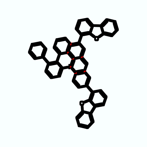 c1ccc(-c2ccccc2-c2c(-c3ccccc3)cccc2N(c2ccc(-c3cccc4c3oc3ccccc34)cc2)c2ccc(-c3cccc4c3oc3ccccc34)cc2)cc1